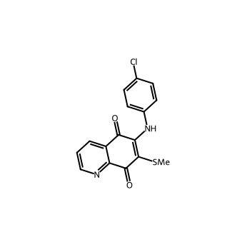 CSC1=C(Nc2ccc(Cl)cc2)C(=O)c2cccnc2C1=O